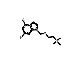 C[Si](C)(C)CCOCn1ccc2c(Cl)cc(Br)cc21